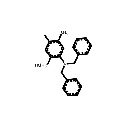 Cc1cc(N(Cc2ccccc2)Cc2ccccc2)c(C)cc1I.Cl